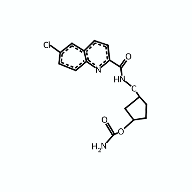 NC(=O)OC1CCC(CNC(=O)c2ccc3cc(Cl)ccc3n2)C1